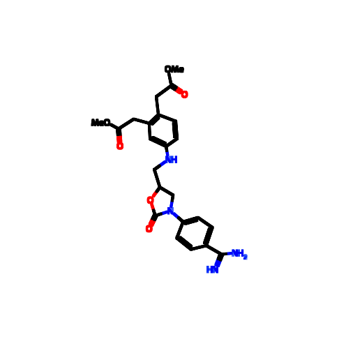 COC(=O)Cc1ccc(NCC2CN(c3ccc(C(=N)N)cc3)C(=O)O2)cc1CC(=O)OC